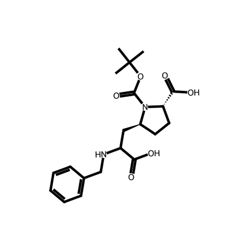 CC(C)(C)OC(=O)N1[C@H](CC(NCc2ccccc2)C(=O)O)CC[C@H]1C(=O)O